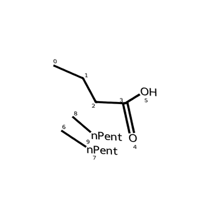 CCCC(=O)O.CCCCCC.CCCCCC